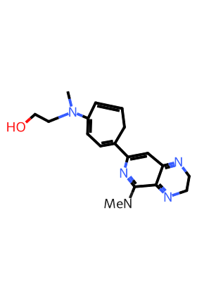 CNc1nc(C2=CC=C(N(C)CCO)C=CC2)cc2c1=NCCN=2